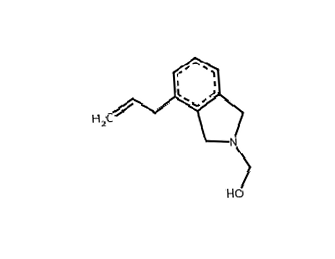 C=CCc1cccc2c1CN(CO)C2